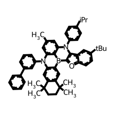 Cc1cc2c3c(c1)N(c1ccc(C(C)C)cc1)c1c(oc4ccc(C(C)(C)C)cc14)B3c1cc3c(cc1N2c1cccc(-c2ccccc2)c1)C(C)(C)CCC3(C)C